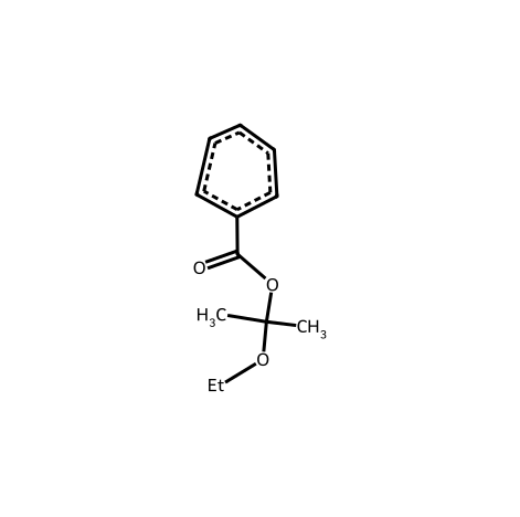 CCOC(C)(C)OC(=O)c1ccccc1